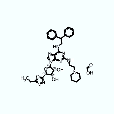 CCc1nnc([C@H]2O[C@@H](n3cnc4c(NCC(c5ccccc5)c5ccccc5)nc(NCCN5CCCCC5)nc43)[C@H](O)[C@@H]2O)o1.O=CO